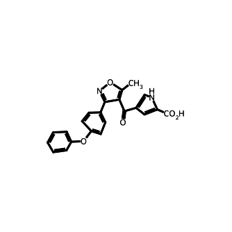 Cc1onc(-c2ccc(Oc3ccccc3)cc2)c1C(=O)c1c[nH]c(C(=O)O)c1